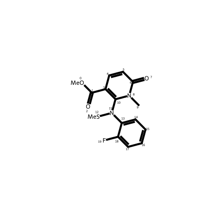 COC(=O)c1ccc(=O)n(C)c1N(SC)c1ccccc1F